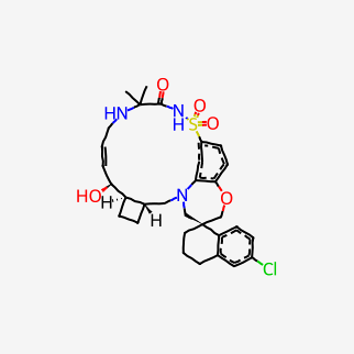 CC1(C)NCC=C[C@H](O)[C@@H]2CC[C@H]2CN2C[C@@]3(CCCc4cc(Cl)ccc43)COc3ccc(cc32)S(=O)(=O)NC1=O